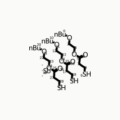 CCCCOCCOC(=O)CCS.CCCCOCCOC(=O)CCS.CCCCOCCOC(=O)CCS.[Sb]